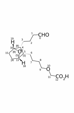 O=CCCC[C@@H]1[C@H](CCCCOCC(=O)O)[C@@H]2CC[C@H]1O2